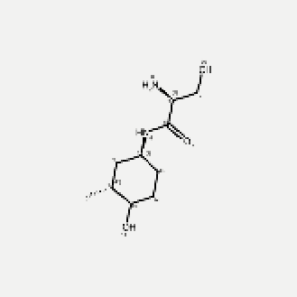 C[C@@H]1C[C@@H](NC(=O)[C@@H](N)CO)CCC1O